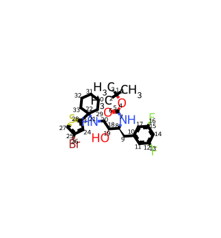 CC(C)(C)OC(=O)N[C@@H](Cc1cc(F)cc(F)c1)[C@H](O)CNC1(c2cc(Br)cs2)CCCCC1